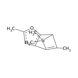 CC1=C2c3cc(C)oc3C1[Si]2(C)C